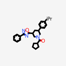 CC(C)c1ccc(C2CC(c3nc(-c4ccccc4)no3)CN(C(=O)C3CCCC3)C2)cc1